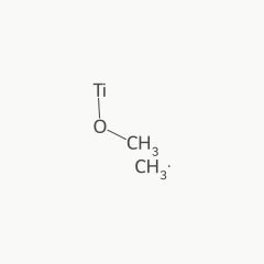 C[O][Ti].[CH3]